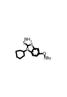 CCCCOc1ccc2c(c1)SC(SN)N2C1CCCCC1